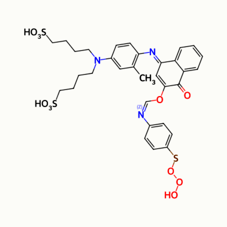 Cc1cc(N(CCCCS(=O)(=O)O)CCCCS(=O)(=O)O)ccc1N=C1C=C(O/C=N\c2ccc(SOOO)cc2)C(=O)c2ccccc21